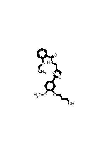 CCOc1ccccc1C(=O)NCc1coc(-c2ccc(OC)c(OCCCO)c2)n1